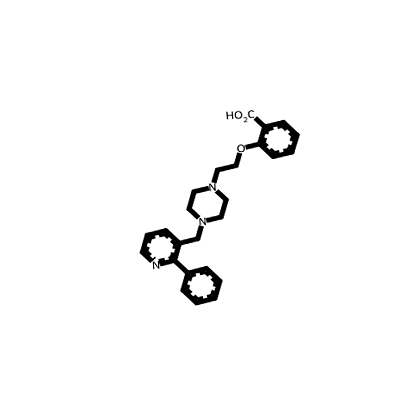 O=C(O)c1ccccc1OCCN1CCN(Cc2cccnc2-c2ccccc2)CC1